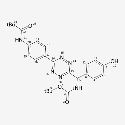 CC(C)(C)OC(=O)NC(c1ccc(O)cc1)c1nnc(-c2ccc(NC(=O)C(C)(C)C)cc2)nn1